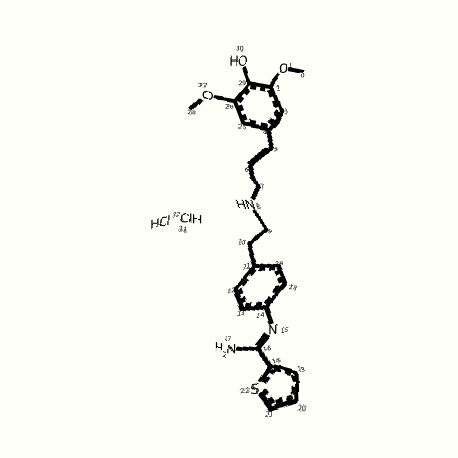 COc1cc(C=CCNCCc2ccc(N=C(N)c3cccs3)cc2)cc(OC)c1O.Cl.Cl